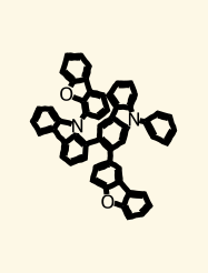 c1ccc(-n2c3ccccc3c3cc(-c4cccc5c6ccccc6n(-c6cccc7c6oc6ccccc67)c45)c(-c4ccc5oc6ccccc6c5c4)cc32)cc1